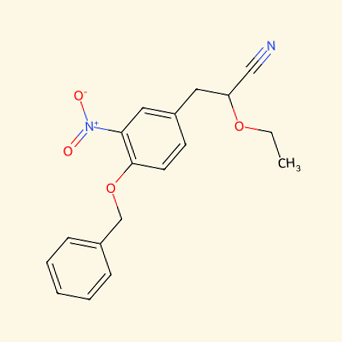 CCOC(C#N)Cc1ccc(OCc2ccccc2)c([N+](=O)[O-])c1